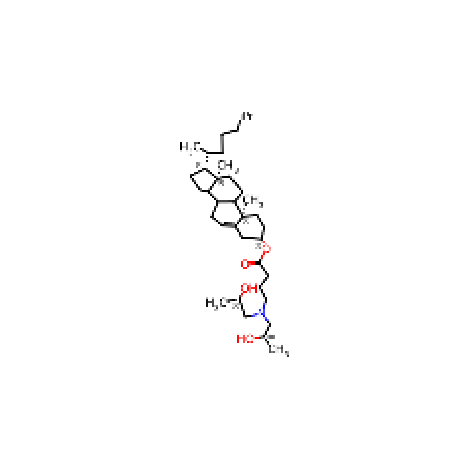 CC(C)CCCC(C)[C@H]1CCC2C3CC=C4C[C@@H](OC(=O)CCCN(C[C@@H](C)O)C[C@@H](C)O)CC[C@]4(C)C3CC[C@@]21C